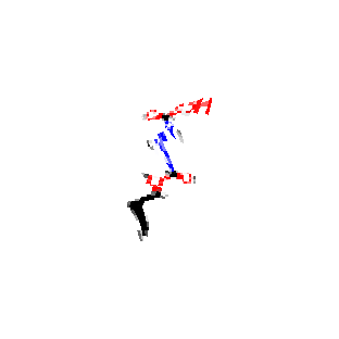 C=CCOC(=O)/N=N/C(=O)O